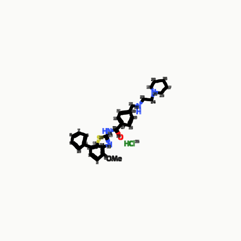 COc1ccc(-c2ccccc2)c2sc(NC(=O)c3ccc(CNCCN4CCCCC4)cc3)nc12.Cl